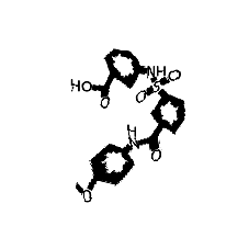 COc1ccc(NC(=O)c2cccc(S(=O)(=O)Nc3cccc(C(=O)O)c3)c2)cc1